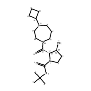 CC(C)(C)OC(=O)N1CC[C@H](O)[C@H]1C(=O)N1CCCN(C2CCC2)CC1